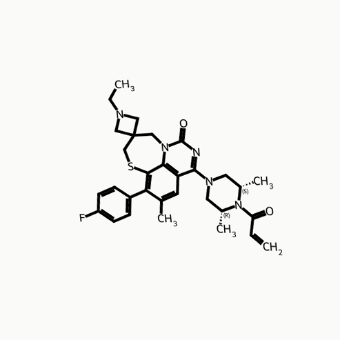 C=CC(=O)N1[C@H](C)CN(c2nc(=O)n3c4c(c(-c5ccc(F)cc5)c(C)cc24)SCC2(CN(CC)C2)C3)C[C@@H]1C